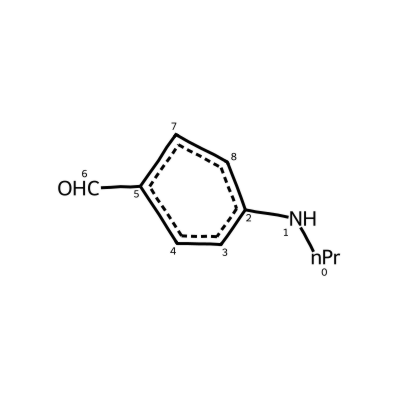 CCCNc1ccc(C=O)cc1